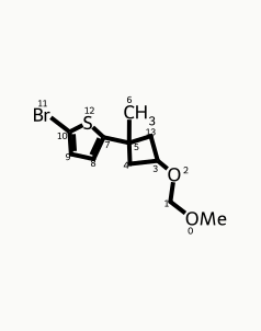 COCOC1CC(C)(c2ccc(Br)s2)C1